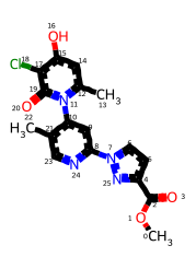 COC(=O)c1ccn(-c2cc(-n3c(C)cc(O)c(Cl)c3=O)c(C)cn2)n1